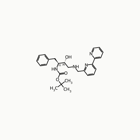 CC(C)(C)OC(=O)N[C@@H](Cc1ccccc1)[C@H](O)CNCc1cccc(-c2ccccn2)n1